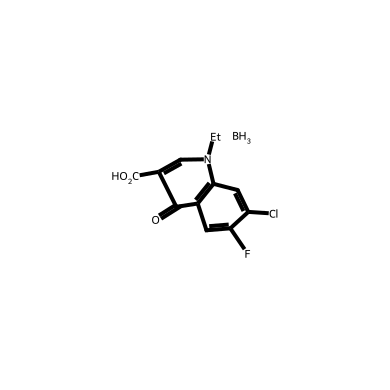 B.CCn1cc(C(=O)O)c(=O)c2cc(F)c(Cl)cc21